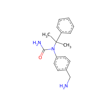 CC(C)(c1ccccc1)N(C(N)=O)c1ccc(CN)cc1